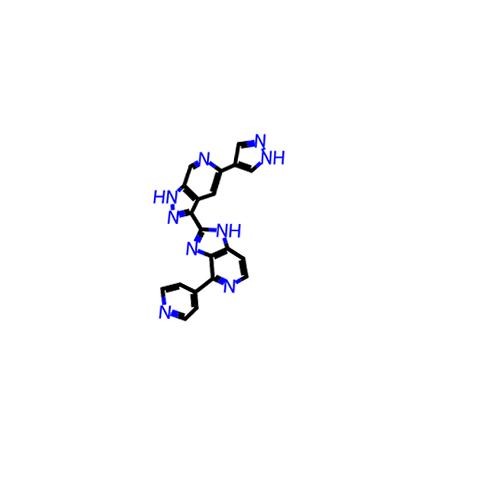 c1cc(-c2nccc3[nH]c(-c4n[nH]c5cnc(-c6cn[nH]c6)cc45)nc23)ccn1